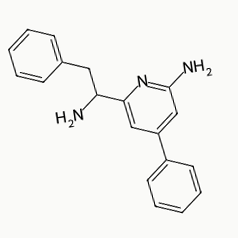 Nc1cc(-c2ccccc2)cc(C(N)Cc2ccccc2)n1